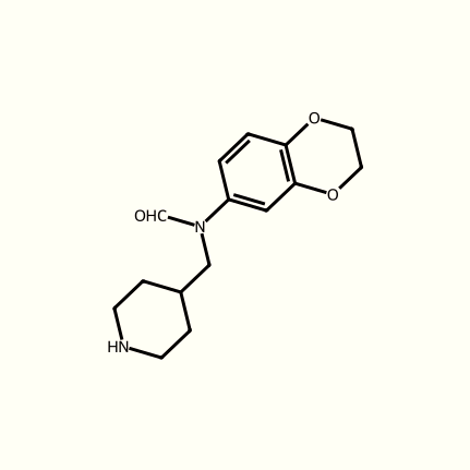 O=CN(CC1CCNCC1)c1ccc2c(c1)OCCO2